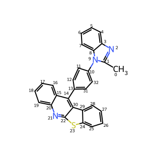 Cc1nc2ccccc2n1-c1ccc(-c2c3ccccc3nc3sc4ccccc4c23)cc1